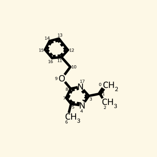 C=C(C)c1nc(C)cc(OCc2ccccc2)n1